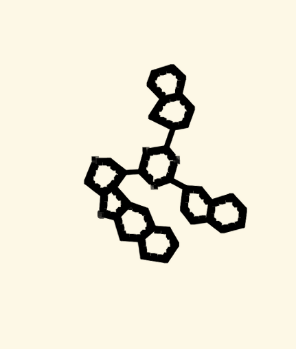 c1ccc2cc(-c3nc(-c4ccc5ccccc5c4)nc(-c4cncc5oc6cc7ccccc7cc6c45)n3)ccc2c1